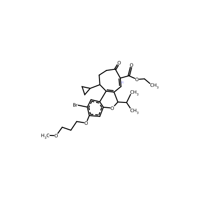 CCOC(=O)/C1=C/C2=C(c3cc(Br)c(OCCCOC)cc3OC2C(C)C)C(C2CC2)CCC1=O